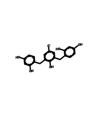 Oc1ccc(Cc2cc(Cl)cc(Cc3ccc(O)cc3O)c2O)c(O)c1